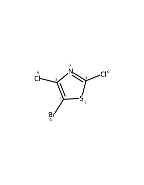 Clc1nc(Cl)c(Br)s1